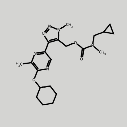 Cc1nc(-c2nnn(C)c2COC(=O)N(C)CC2CC2)cnc1OC1CCCCC1